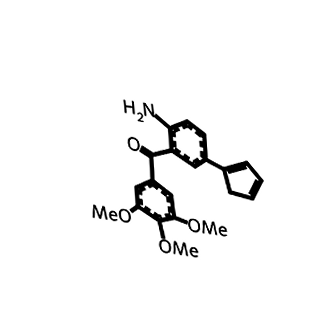 COc1cc(C(=O)c2cc(C3=CC=CC3)ccc2N)cc(OC)c1OC